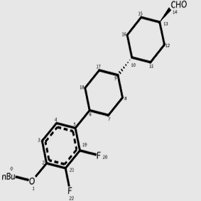 CCCCOc1ccc(C2CCC([C@H]3CC[C@H](C=O)CC3)CC2)c(F)c1F